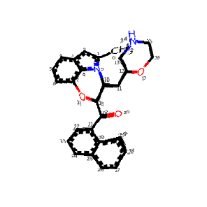 Cc1cc2cccc3c2n1C(CC1CNCCO1)C(C(=O)c1cccc2ccccc12)O3